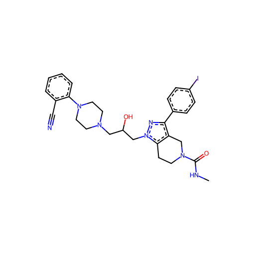 CNC(=O)N1CCc2c(c(-c3ccc(I)cc3)nn2CC(O)CN2CCN(c3ccccc3C#N)CC2)C1